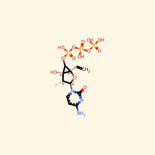 C=C[C@]12O[C@@H](n3ccc(N)nc3=O)[C@H](F)[C@@]1(O)C2OP(=O)(O)OP(=O)(O)OP(=O)(O)O